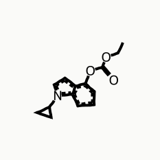 CCOC(=O)Oc1cccc2c1ccn2C1CC1